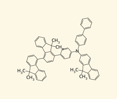 CC1(C)c2ccccc2-c2ccc(N(c3ccc(-c4ccccc4)cc3)c3ccc(-c4ccc(-c5cccc6c5-c5ccccc5C6(C)C)c5c4C(C)(C)c4ccccc4-5)cc3)cc21